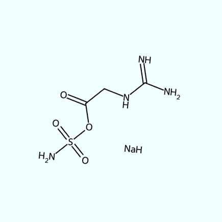 N=C(N)NCC(=O)OS(N)(=O)=O.[NaH]